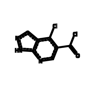 O=C(Cl)c1cnc2[nH]ncc2c1Cl